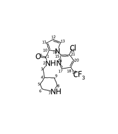 O=C(NCC1CCNCC1)c1cccn1-c1ncc(C(F)(F)F)cc1Cl